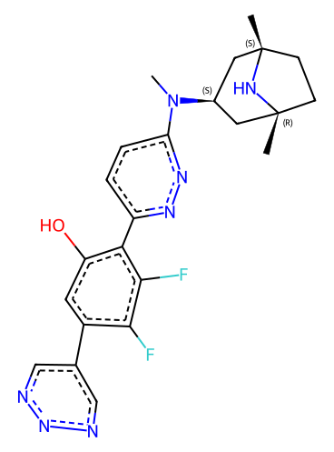 CN(c1ccc(-c2c(O)cc(-c3cnnnc3)c(F)c2F)nn1)[C@H]1C[C@]2(C)CC[C@](C)(C1)N2